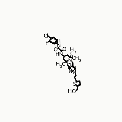 CC1(C)CC(NC(=O)C(=O)Nc2ccc(Cl)c(F)c2)CC(C)(C)N1Cc1cn(CCc2ccc(CO)s2)nn1